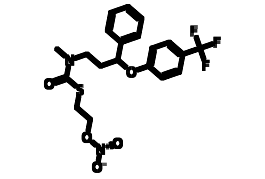 CN(CCC(Oc1ccc(C(F)(F)F)cc1)c1ccccc1)C(=O)SCCO[N+](=O)[O-]